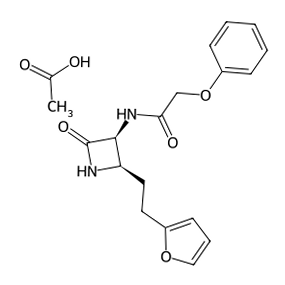 CC(=O)O.O=C(COc1ccccc1)N[C@@H]1C(=O)N[C@@H]1CCc1ccco1